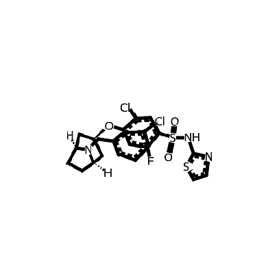 O=S(=O)(Nc1nccs1)c1cc(Cl)c(O[C@H]2C[C@H]3CC[C@@H](C2)N3Cc2cccc(Cl)c2)cc1F